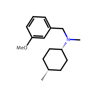 COc1cccc(CN(C)[C@H]2CC[C@@H](C)CC2)c1